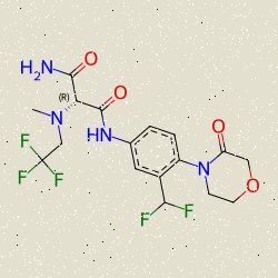 CN(CC(F)(F)F)[C@H](C(N)=O)C(=O)Nc1ccc(N2CCOCC2=O)c(C(F)F)c1